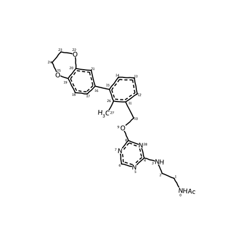 CC(=O)NCCNc1ncnc(OCc2cccc(-c3ccc4c(c3)OCCO4)c2C)n1